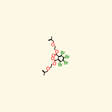 C=C(C)COCCOC(=O)c1c(Br)c(Br)c(Br)c(Br)c1C(=O)OCCOCC(=C)C